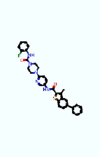 Cc1c(C(=O)Nc2ccc(N3CCN(C(=O)Nc4ccccc4F)CC3)nc2)sc2ccc(-c3ccccc3)cc12